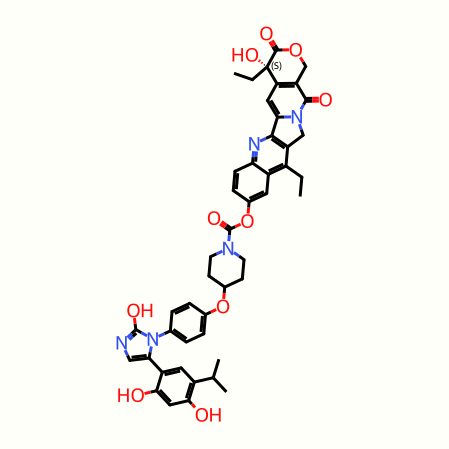 CCc1c2c(nc3ccc(OC(=O)N4CCC(Oc5ccc(-n6c(-c7cc(C(C)C)c(O)cc7O)cnc6O)cc5)CC4)cc13)-c1cc3c(c(=O)n1C2)COC(=O)[C@]3(O)CC